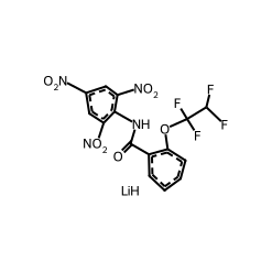 O=C(Nc1c([N+](=O)[O-])cc([N+](=O)[O-])cc1[N+](=O)[O-])c1ccccc1OC(F)(F)C(F)F.[LiH]